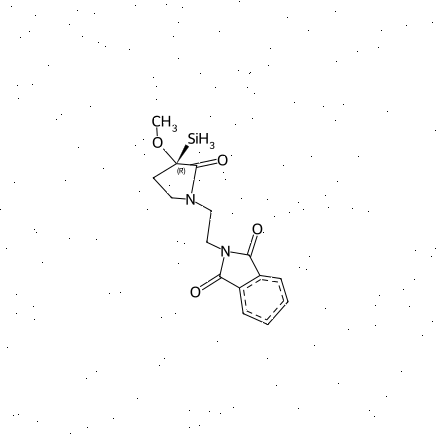 CO[C@@]1([SiH3])CCN(CCN2C(=O)c3ccccc3C2=O)C1=O